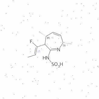 C/C=C(\F)C1C(NS(=O)(=O)O)=N[C@@H](C)C=C[C@H]1C